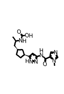 CC(C[C@@H]1CC[C@H](c2cc(NC(=O)c3cncn3C)n[nH]2)C1)NC(=O)O